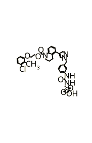 Cc1c(Cl)cccc1OCCOC(=O)N1CCCc2c(-c3cnn(Cc4cccc(NC(=O)NCS(=O)(=O)O)c4)c3)cccc21